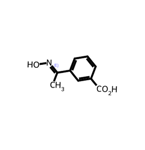 C/C(=N\O)c1cccc(C(=O)O)c1